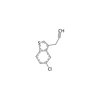 C#CCc1csc2ccc(Cl)cc12